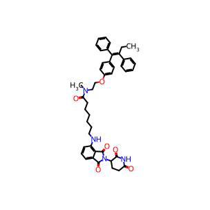 CC/C(=C(\c1ccccc1)c1ccc(OCCN(C)C(=O)CCCCCCNc2cccc3c2C(=O)N(C2CCC(=O)NC2=O)C3=O)cc1)c1ccccc1